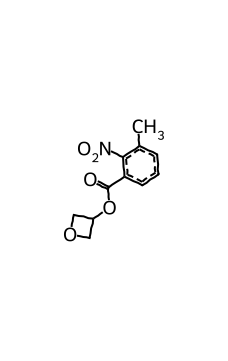 Cc1cccc(C(=O)OC2COC2)c1[N+](=O)[O-]